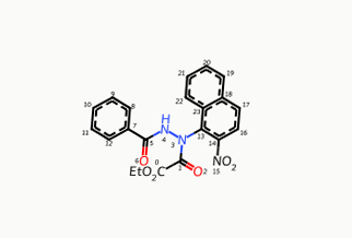 CCOC(=O)C(=O)N(NC(=O)c1ccccc1)c1c([N+](=O)[O-])ccc2ccccc12